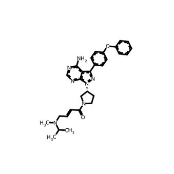 CC(C)N(C)CC=CC(=O)N1CC[C@@H](n2nc(-c3ccc(Oc4ccccc4)cc3)c3c(N)ncnc32)C1